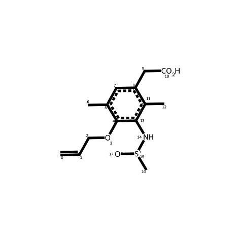 C=CCOc1c(C)cc(CC(=O)O)c(C)c1N[S+](C)[O-]